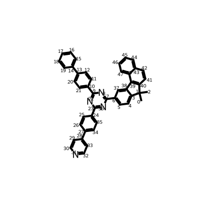 CC1(C)c2ccc(-c3nc(-c4ccc(-c5ccccc5)cc4)nc(-c4ccc(-c5ccncc5)cc4)n3)cc2-c2c1ccc1ccccc21